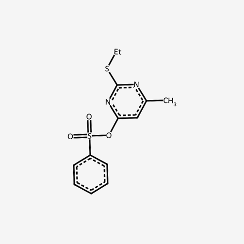 CCSc1nc(C)cc(OS(=O)(=O)c2ccccc2)n1